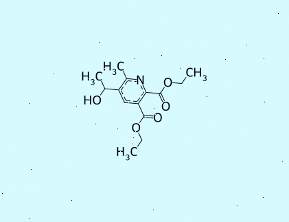 CCOC(=O)c1cc(C(C)O)c(C)nc1C(=O)OCC